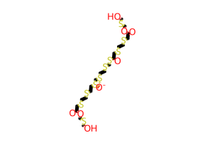 O=C(CSCCSCC[S+]([O-])CSCCSCSC(=O)CSCCSCC(=O)OCSCO)OCSCO